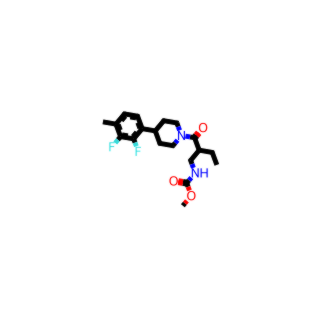 CCC(CNC(=O)OC)C(=O)N1CCC(c2ccc(C)c(F)c2F)CC1